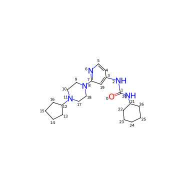 O=C(Nc1ccnc(N2CCN(C3CCCC3)CC2)c1)NC1CCCCC1